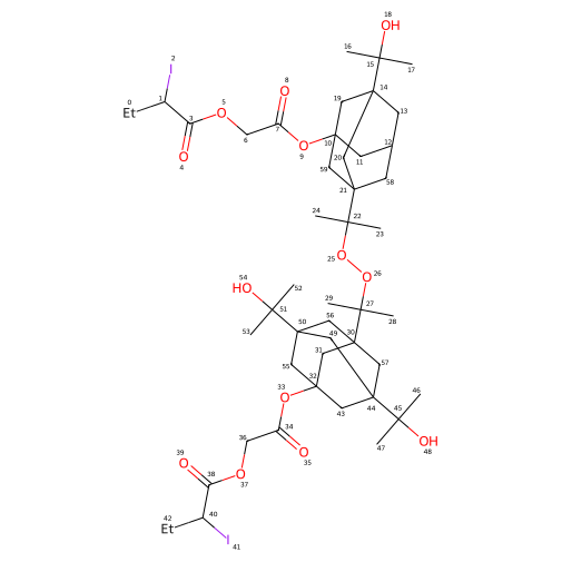 CCC(I)C(=O)OCC(=O)OC12CC3CC(C(C)(C)O)(C1)CC(C(C)(C)OOC(C)(C)C14CC5(OC(=O)COC(=O)C(I)CC)CC(C(C)(C)O)(CC(C(C)(C)O)(C5)C1)C4)(C3)C2